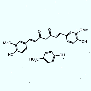 COc1cc(/C=C/C(=O)CC(=O)/C=C/c2ccc(O)c(OC)c2)ccc1O.O=C(O)c1ccc(O)cc1